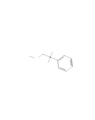 CCCCC(C)(CO[SiH3])c1ccccc1